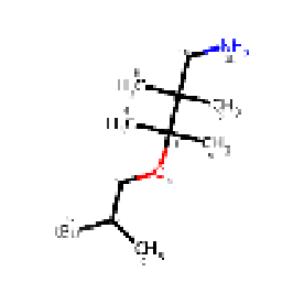 CC(COC(C)(C)C(C)(C)CN)C(C)(C)C